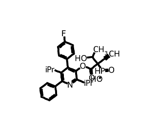 C#CC(C(=O)Oc1c(C(C)C)nc(-c2ccccc2)c(C(C)C)c1-c1ccc(F)cc1)(C(C)O)[PH](=O)O